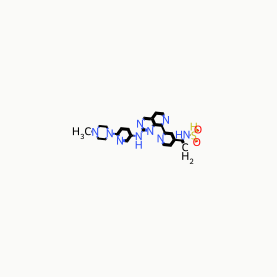 C=C(N[SH](=O)=O)c1ccnc(-c2nccc3cnc(Nc4ccc(N5CCN(C)CC5)nc4)nc23)c1